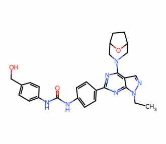 CCn1ncc2c(N3CC4CCC(C3)O4)nc(-c3ccc(NC(=O)Nc4ccc(CO)cc4)cc3)nc21